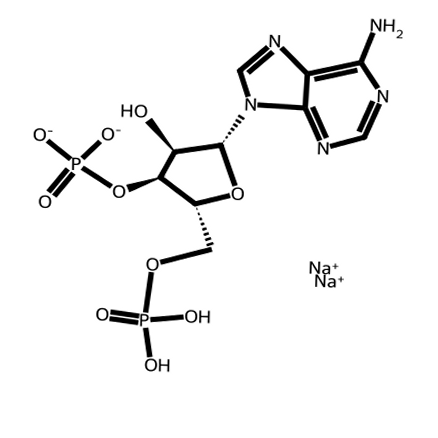 Nc1ncnc2c1ncn2[C@@H]1O[C@H](COP(=O)(O)O)[C@@H](OP(=O)([O-])[O-])[C@H]1O.[Na+].[Na+]